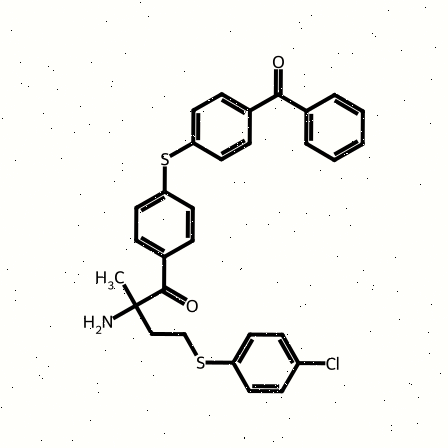 CC(N)(CCSc1ccc(Cl)cc1)C(=O)c1ccc(Sc2ccc(C(=O)c3ccccc3)cc2)cc1